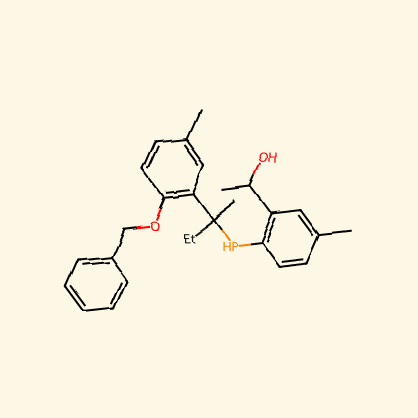 CCC(C)(Pc1ccc(C)cc1C(C)O)c1cc(C)ccc1OCc1ccccc1